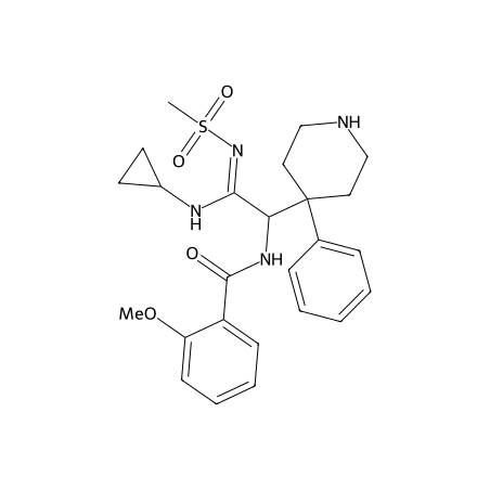 COc1ccccc1C(=O)NC(C(=NS(C)(=O)=O)NC1CC1)C1(c2ccccc2)CCNCC1